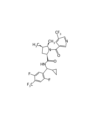 C[C@@H]1C[C@H](C(=O)NC(c2cc(F)c(C(F)(F)F)cc2F)C2CC2)N(C(=O)c2cncc(C(F)(F)F)c2)[C@@H]1C